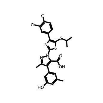 Cc1cc(O)cc(-c2c(C)nn(-c3nc(-c4ccc(Cl)c(Cl)c4)c(SC(C)C)s3)c2C(=O)O)c1